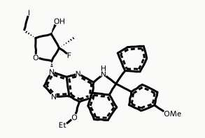 CCOc1nc(NC(c2ccccc2)(c2ccccc2)c2ccc(OC)cc2)nc2c1ncn2[C@@H]1O[C@H](CI)[C@@H](O)[C@@]1(C)F